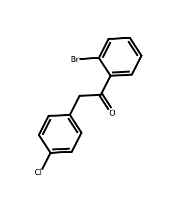 O=C(Cc1ccc(Cl)cc1)c1ccccc1Br